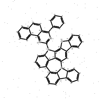 c1ccc(-c2nc(-n3c4cccc5c6cccc7c8ccccc8n(c8cc9c%10ccccc%10oc9c3c8c54)c67)nc3c2ccc2ccccc23)cc1